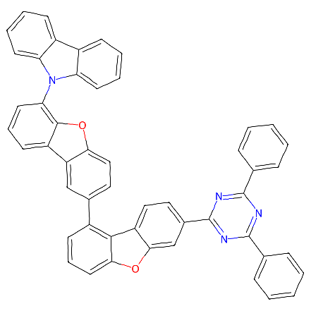 c1ccc(-c2nc(-c3ccccc3)nc(-c3ccc4c(c3)oc3cccc(-c5ccc6oc7c(-n8c9ccccc9c9ccccc98)cccc7c6c5)c34)n2)cc1